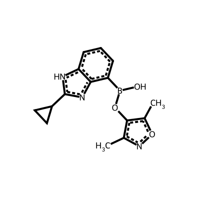 Cc1noc(C)c1OB(O)c1cccc2[nH]c(C3CC3)nc12